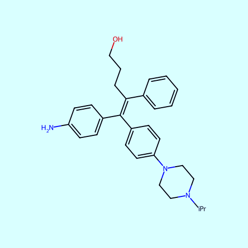 CC(C)N1CCN(c2ccc(/C(=C(/CCCO)c3ccccc3)c3ccc(N)cc3)cc2)CC1